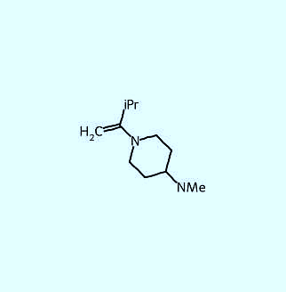 C=C(C(C)C)N1CCC(NC)CC1